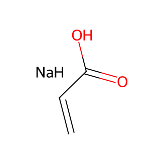 C=CC(=O)O.[NaH]